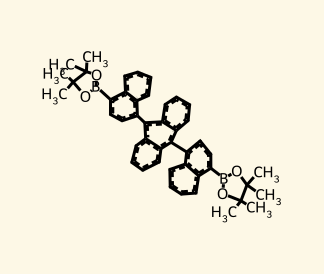 CC1(C)OB(c2ccc(-c3c4ccccc4c(-c4ccc(B5OC(C)(C)C(C)(C)O5)c5ccccc45)c4ccccc34)c3ccccc23)OC1(C)C